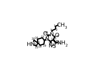 CCCCn1c(=O)c2c(N)snc2n(C2CCC3(CC2)CNC3)c1=O